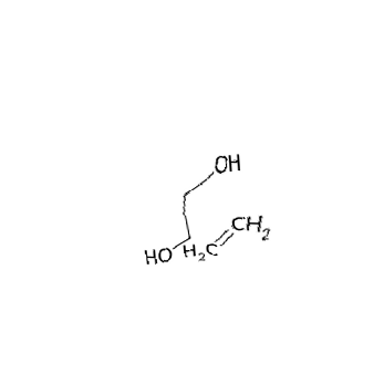 C=C.OCCO